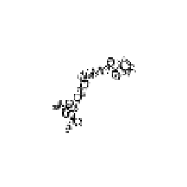 C=CC(=O)OCC(COCCOC(C)OCCOC(=O)C(=O)c1ccccc1)OC(=O)C=C